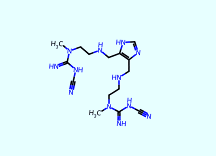 CN(CCNCc1nc[nH]c1CNCCN(C)C(=N)NC#N)C(=N)NC#N